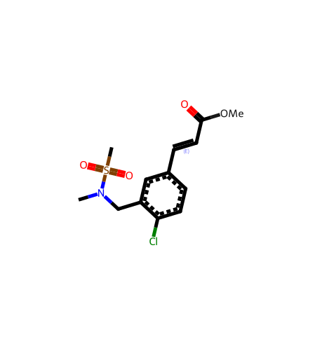 COC(=O)/C=C/c1ccc(Cl)c(CN(C)S(C)(=O)=O)c1